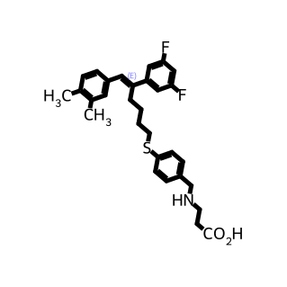 Cc1ccc(/C=C(\CCCCSc2ccc(CNCCC(=O)O)cc2)c2cc(F)cc(F)c2)cc1C